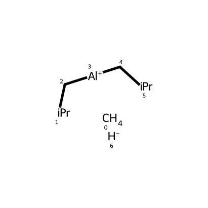 C.CC(C)[CH2][Al+][CH2]C(C)C.[H-]